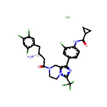 Cl.N[C@@H](CC(=O)N1CCn2c(C(F)(F)F)nc(-c3ccc(NC(=O)C4CC4)c(F)c3)c2C1)Cc1cc(F)c(F)cc1F